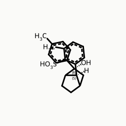 Cc1ccc([C@@]2(O)CC3CCC2[C@H]3c2cccc(C)c2S(=O)(=O)O)cc1